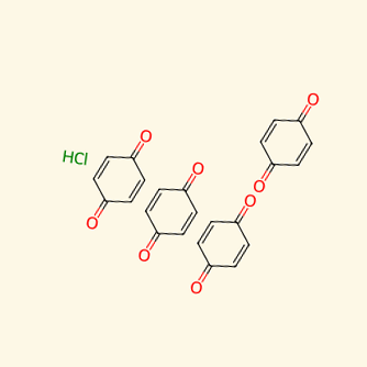 Cl.O=C1C=CC(=O)C=C1.O=C1C=CC(=O)C=C1.O=C1C=CC(=O)C=C1.O=C1C=CC(=O)C=C1